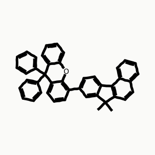 CC1(C)c2cc(-c3cccc4c3Oc3ccccc3C4(c3ccccc3)c3ccccc3)ccc2-c2c1ccc1ccccc21